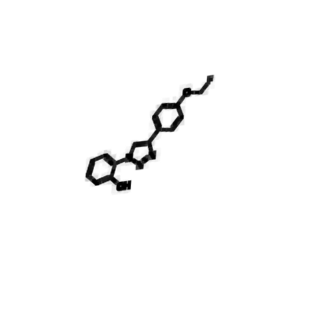 Oc1ccccc1-n1cc(-c2ccc(OCF)cc2)nn1